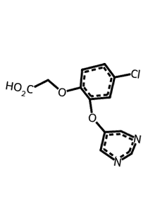 O=C(O)COc1ccc(Cl)cc1Oc1cncnc1